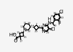 CC(Nc1nc(C2CC([C@H]3CCCN(C4CC(C)(C(=O)O)C4)C3)C2)ncc1Cl)c1ccc(Cl)cc1F